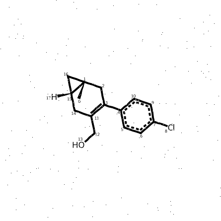 C[C@@]12CC(c3ccc(Cl)cc3)=C(CO)C[C@@H]1C2